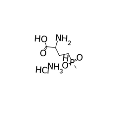 CP(=O)(O)CCC(N)C(=O)O.Cl.N